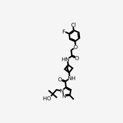 Cc1cc(C(=O)NC23CC(NC(=O)COc4ccc(Cl)c(F)c4)(C2)C3)n(CC(C)(C)O)n1